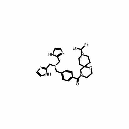 CCC(CC)N1CCC2(CC1)CN(C(=O)c1ccc(CN(Cc3ncc[nH]3)Cc3ncc[nH]3)cc1)CCO2